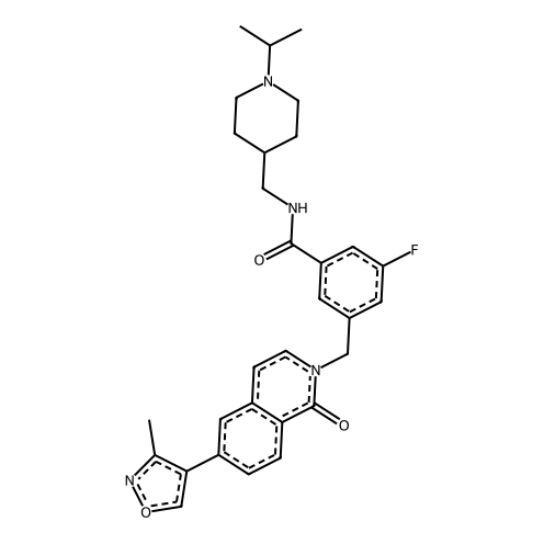 Cc1nocc1-c1ccc2c(=O)n(Cc3cc(F)cc(C(=O)NCC4CCN(C(C)C)CC4)c3)ccc2c1